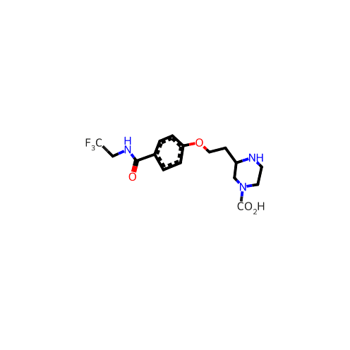 O=C(NCC(F)(F)F)c1ccc(OCCC2CN(C(=O)O)CCN2)cc1